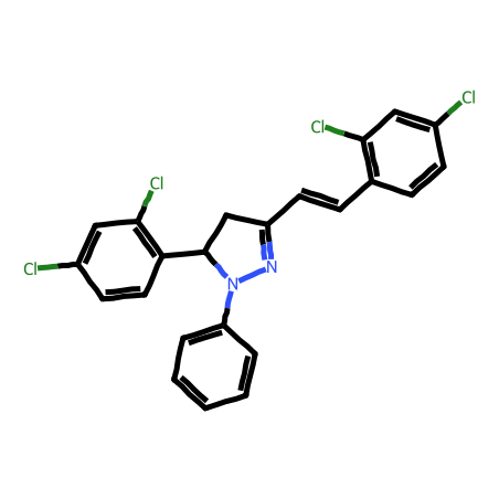 Clc1ccc(/C=C/C2=NN(c3ccccc3)C(c3ccc(Cl)cc3Cl)C2)c(Cl)c1